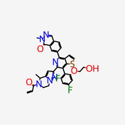 C=CC(=O)N1CCn2nc(-c3nc(-c4ccc5cnn(C)c(=O)c5c4)c4ccsc4c3-c3c(F)cc(F)cc3OCCO)cc2C1C